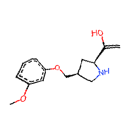 C=C(O)[C@@H]1C[C@H](COc2cccc(OC)c2)CN1